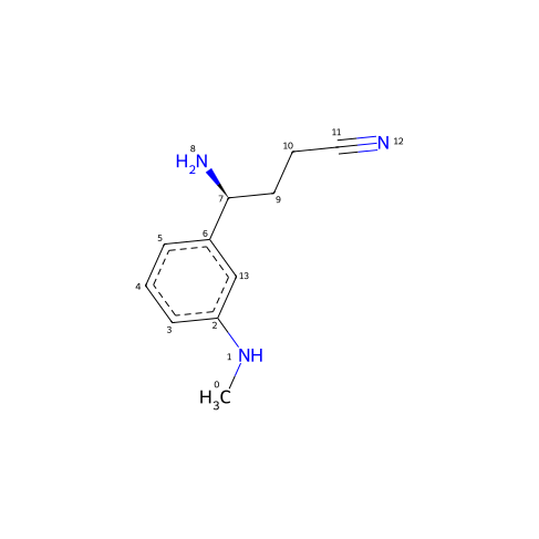 CNc1cccc([C@@H](N)CCC#N)c1